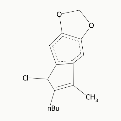 CCCCC1=C(C)c2cc3c(cc2C1Cl)OCO3